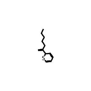 C=C(CCCCC)C1C=CC=CS1